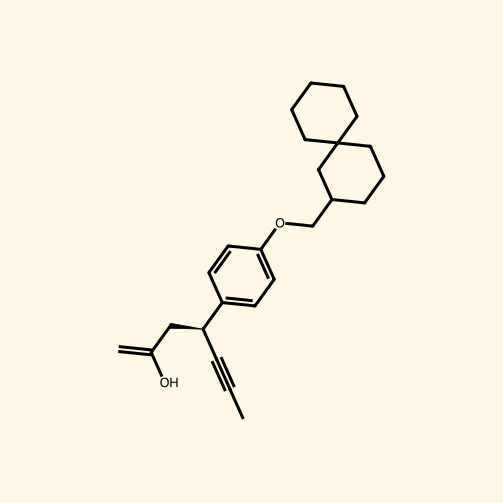 C=C(O)C[C@H](C#CC)c1ccc(OCC2CCCC3(CCCCC3)C2)cc1